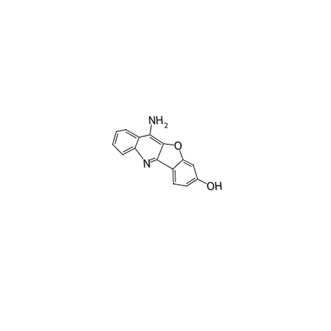 Nc1c2ccccc2nc2c1oc1cc(O)ccc12